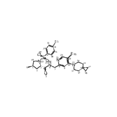 C[C@@H]1C[C@@H](C(=O)NCc2cc(N3CCC4(CC3)CC4)c(F)cn2)N(S(=O)(=O)c2ccc(F)cc2)C1